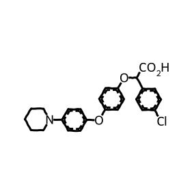 O=C(O)C(Oc1ccc(Oc2ccc(N3CCCCC3)cc2)cc1)c1ccc(Cl)cc1